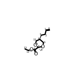 C=CCC[C@H]1CO[C@@](C)(C(=O)OCC)OC1